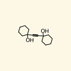 OC1(C#CC2(O)CCCCC2)CCCCC1